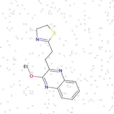 CCOc1nc2ccccc2nc1CCC1=NCCS1